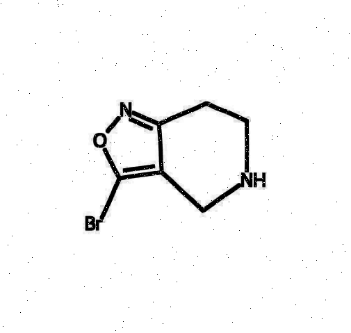 Brc1onc2c1CNCC2